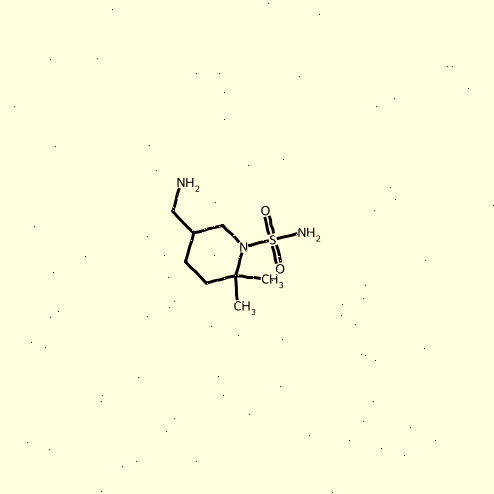 CC1(C)CCC(CN)CN1S(N)(=O)=O